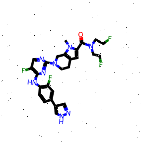 Cn1c(C(=O)N(CCF)CCF)cc2c1CN(c1ncc(F)c(Nc3ccc(-c4cn[nH]c4)cc3F)n1)CC2